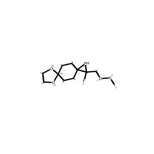 FC1(COSI)PC12CCC1(CC2)OCCO1